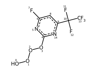 OOOOc1nc(F)cc(C(F)(F)C(F)(F)F)n1